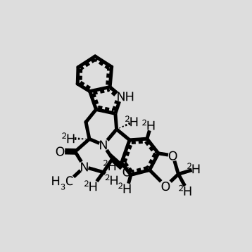 [2H]c1c([2H])c([C@]2([2H])c3[nH]c4ccccc4c3C[C@]3([2H])C(=O)N(C)C([2H])([2H])C(=O)N23)c([2H])c2c1OC([2H])([2H])O2